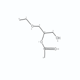 CCOCC(CO)OC(C)=O